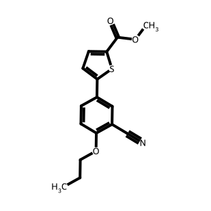 CCCOc1ccc(-c2ccc(C(=O)OC)s2)cc1C#N